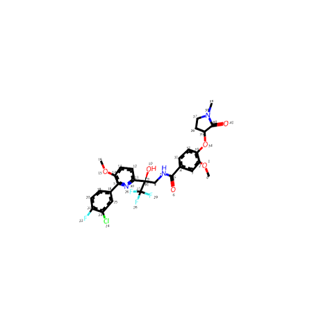 COc1cc(C(=O)NC[C@@](O)(c2ccc(OC)c(-c3ccc(F)c(Cl)c3)n2)C(F)(F)F)ccc1OC1CCN(C)C1=O